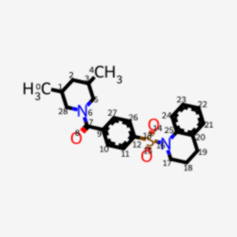 CC1CC(C)CN(C(=O)c2ccc(S(=O)(=O)N3CCCc4ccccc43)cc2)C1